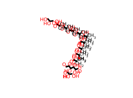 C=C(C)C(=O)O.C=C(C)C(=O)O.C=C(C)C(=O)O.C=C(C)C(=O)O.C=C(C)C(=O)O.C=C(C)C(=O)O.C=C(C)C(=O)O.C=C(C)C(=O)O.C=C(C)C(=O)O.O=C[C@H](O)[C@@H](O)[C@H](O)[C@H](O)CO.OCC(O)CO.OCC(O)CO